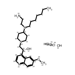 CCCCCCCN(CCN)C1CCN(C[C@H](O)c2ccnc3ccc(OC)cc23)CC1.Cl.Cl.Cl.Cl